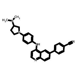 CN(C)C1CCN(c2ccc(Nc3ccnc4ccc(-c5ccc(C#N)cc5)cc34)cc2)C1